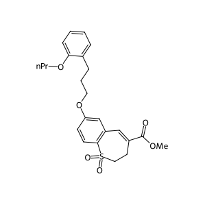 CCCOc1ccccc1CCCOc1ccc2c(c1)C=C(C(=O)OC)CCS2(=O)=O